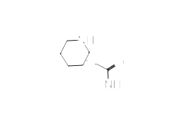 C1CCNCC1.NC(=O)Cl